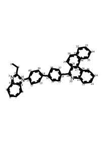 CCc1nc2ccccc2n1-c1ccc(-c2ccc(-c3nc4ccccc4c4c3ccc3ccccc34)cc2)cc1